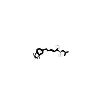 CC(C)CNC(=O)C=CCCc1ccc2c(c1)OCO2